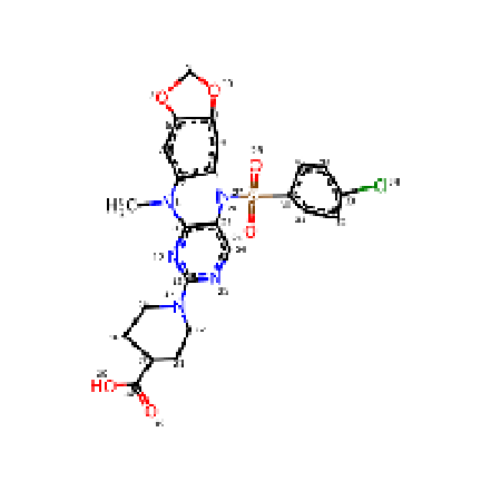 CN(c1ccc2c(c1)OCO2)c1nc(N2CCC(C(=O)O)CC2)ncc1NS(=O)(=O)c1ccc(Cl)cc1